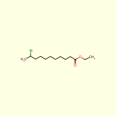 CCOC(=O)CCCCCCCCC(C)Br